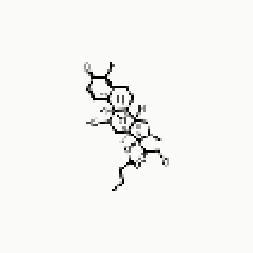 CCCC(=O)O[C@]1(C(=O)CCl)C(C)C[C@H]2[C@@H]3CCC4=C(F)C(=O)C=C[C@]4(C)[C@@]3(Cl)C(O)C[C@@]21C